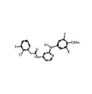 COc1c(F)cc(N(C(C)=O)c2cc(NC(=O)Cc3cccc(F)c3Cl)ccn2)cc1F